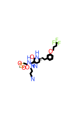 CS(=O)(=O)CC(=O)Nc1c2c(nn1CCCC#N)C[C@H](CCc1cccc(OCCCC(F)(F)F)c1)NC2=O